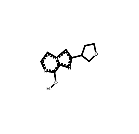 CCOc1nccn2cc(C3CCOC3)nc12